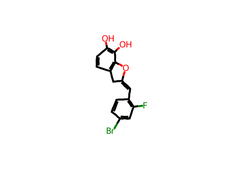 Oc1ccc2c(c1O)OC(=Cc1ccc(Br)cc1F)C2